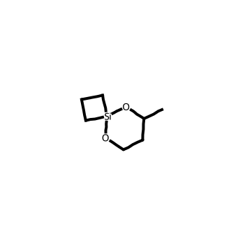 CC1CCO[Si]2(CCC2)O1